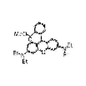 CCN(CC)c1ccc2c(-c3ccccc3C(=O)OC)c3ccc(=[N+](CC)CC)cc-3oc2c1